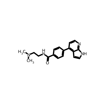 CN(C)CCNC(=O)c1ccc(-c2ccnc3[nH]ccc23)cc1